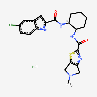 CN1Cc2nc(C(=O)N[C@@H]3CCCC[C@@H]3NC(=O)c3cc4cc(Cl)ccc4[nH]3)sc2C1.Cl